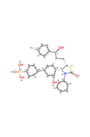 O=C1S[C@@H](CC[C@H](O)c2ccc(F)cc2)[C@@H](c2ccc(-c3ccc(P(=O)(O)O)cc3)cc2O)N1c1ccccc1